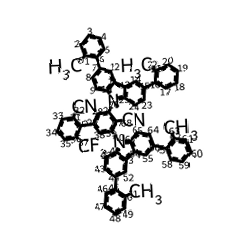 Cc1ccccc1-c1ccc2c(c1)c1cc(-c3ccccc3C)ccc1n2-c1cc(-c2c(C#N)cccc2C(F)(F)F)cc(-n2c3ccc(-c4ccccc4C)cc3c3cc(-c4ccccc4C)ccc32)c1C#N